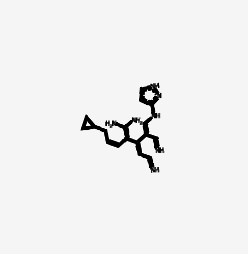 N=C/C=C(C(/C=C\CC1CC1)=C(N)N)\C(C=N)=C\Nc1cc[nH]n1